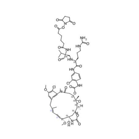 COc1cc2cc(c1Cl)N(C)C(=O)C[C@H](OC(=O)Nc1ccc(NC(=O)[C@H](CCCNC(N)=O)NC[C@](C=O)(NC(=O)CCCCC(=O)ON3C(=O)CCC3=O)C(C)C)cc1Cl)[C@]1(C)O[C@H]1[C@H](C)[C@@H]1C[C@@](O)(NC(=O)O1)[C@H](OC)/C=C/C=C(\C)C2